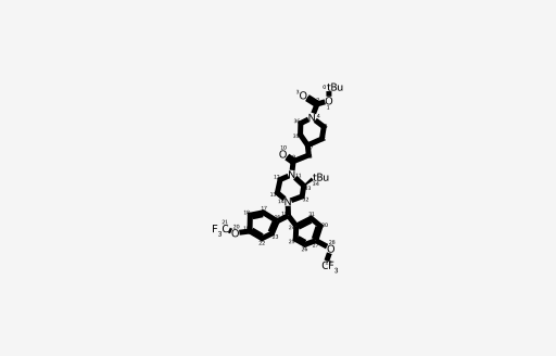 CC(C)(C)OC(=O)N1CCC(CC(=O)N2CCN(C(c3ccc(OC(F)(F)F)cc3)c3ccc(OC(F)(F)F)cc3)C[C@@H]2C(C)(C)C)CC1